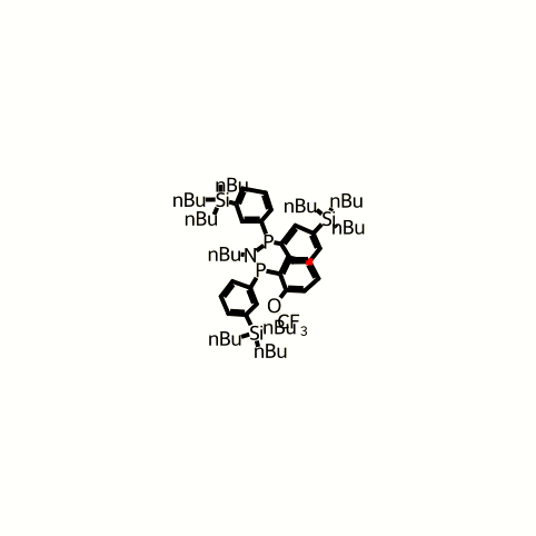 CCCCN(P(c1cccc([Si](CCCC)(CCCC)CCCC)c1)c1cccc([Si](CCCC)(CCCC)CCCC)c1)P(c1cccc([Si](CCCC)(CCCC)CCCC)c1)c1ccccc1OC(F)(F)F